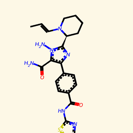 CC=CN1CCCC[C@H]1c1nc(-c2ccc(C(=O)Nc3nccs3)cc2)c(C(N)=O)n1N